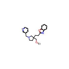 CCOCC1(CCc2nc3ccccc3o2)CCN(Cc2cccnc2)C1